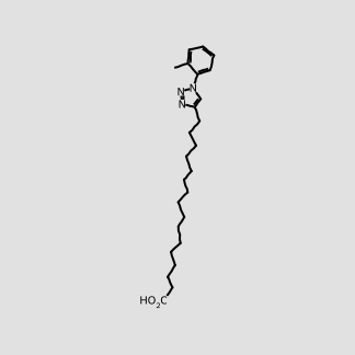 Cc1ccccc1-n1cc(CCCCCCCCCCCCCCCC(=O)O)nn1